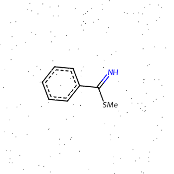 CSC(=N)c1cc[c]cc1